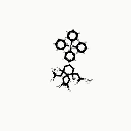 NC1(CC(=O)[O-])CCCC(N)(CC(=O)[O-])C1(CC(=O)[O-])CC(=O)[O-].[Fe+3].c1ccc([As+](c2ccccc2)(c2ccccc2)c2ccccc2)cc1